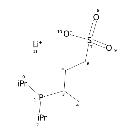 CC(C)P(C(C)C)C(C)CCS(=O)(=O)[O-].[Li+]